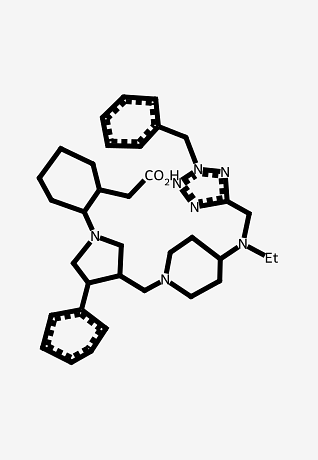 CCN(Cc1nnn(Cc2ccccc2)n1)C1CCN(CC2CN(C3CCCCC3CC(=O)O)CC2c2ccccc2)CC1